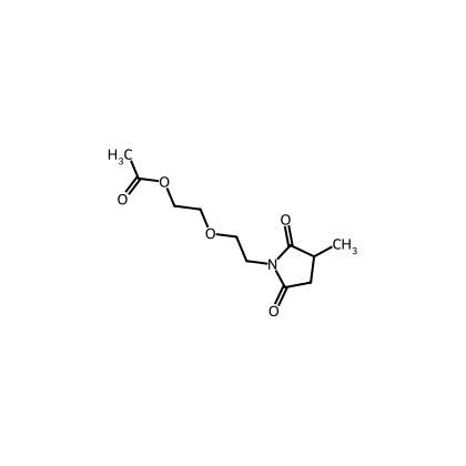 CC(=O)OCCOCCN1C(=O)CC(C)C1=O